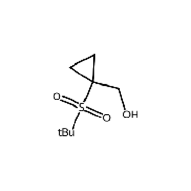 CC(C)(C)S(=O)(=O)C1(CO)CC1